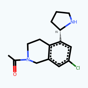 CC(=O)N1CCc2c(cc(Cl)cc2[C@@H]2CCCN2)C1